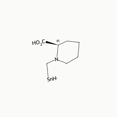 O=C(O)[C@H]1CCCCN1[CH2][SnH]